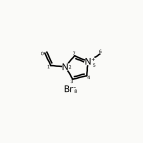 C=Cn1cc[n+](C)c1.[Br-]